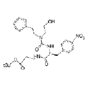 CC(C)(C)OC(=O)CCNC(=O)[C@H](Cc1ccc([N+](=O)[O-])cc1)NC(=O)N(CCO)CCc1ccccc1